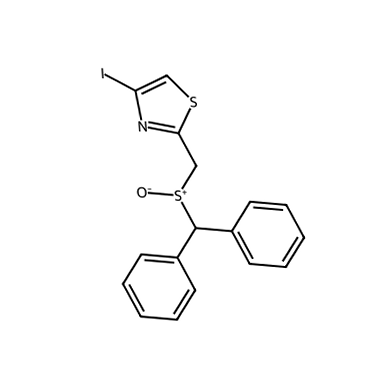 [O-][S+](Cc1nc(I)cs1)C(c1ccccc1)c1ccccc1